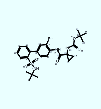 CC(C)(C)NS(=O)(=O)c1ccccc1-c1ccc(NC(=O)C2(NC(=O)OC(C)(C)C)CC2)c(F)c1